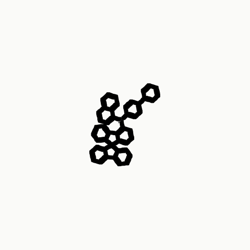 c1ccc(-c2ccc(N(c3cccc4c3-c3ccccc3C43c4ccccc4-c4ccccc43)c3cccc4ccccc34)cc2)cc1